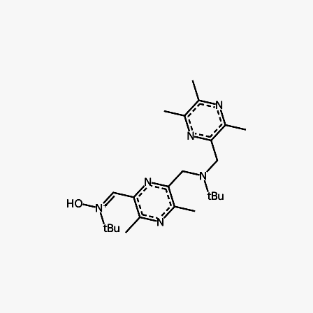 Cc1nc(C)c(CN(Cc2nc(/C=[N+](/O)C(C)(C)C)c(C)nc2C)C(C)(C)C)nc1C